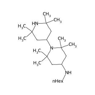 [CH2]CCCCCNC1CC(C)(C)N(C2CC(C)(C)NC(C)(C)C2)C(C)(C)C1